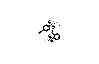 C#C[C]1[C]C=C(S(N)(=O)=O)C=C1.CCc1ccccc1S(N)(=O)=O